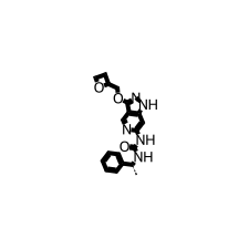 C[C@@H](NC(=O)Nc1cc2[nH]nc(OCC3CCO3)c2cn1)c1ccccc1